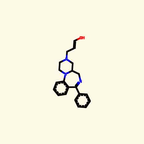 OC=CCN1CCN2c3ccccc3C(c3ccccc3)=NCC2C1